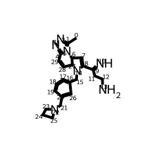 Cc1nnc2n1C1C=C(C(=N)CCN)N(CC3=C=C=CC(CN4CCC4)=C3)C1C=C2